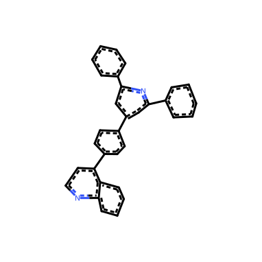 c1ccc(-c2cc(-c3ccc(-c4ccnc5ccccc45)cc3)cc(-c3ccccc3)n2)cc1